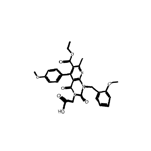 CCOC(=O)c1c(C)nc2c(c1-c1ccc(OC)cc1)c(=O)n(CC(=O)O)c(=O)n2Cc1ccccc1OC